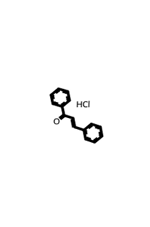 Cl.O=C(C=Cc1ccccc1)c1ccccc1